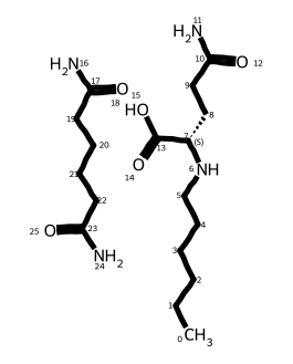 CCCCCCN[C@@H](CCC(N)=O)C(=O)O.NC(=O)CCCCC(N)=O